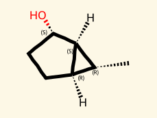 C[C@@H]1[C@H]2CC[C@H](O)[C@@H]12